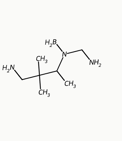 BN(CN)C(C)C(C)(C)CN